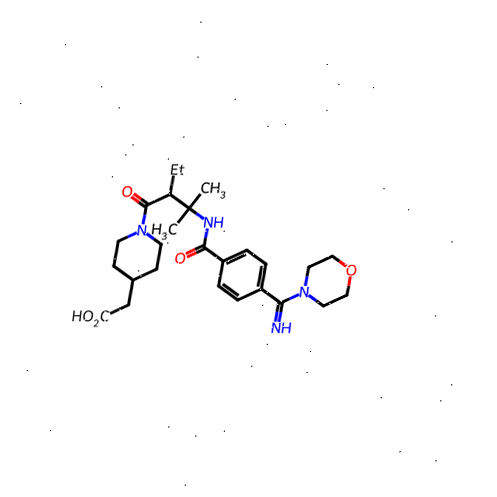 CCC(C(=O)N1CCC(CC(=O)O)CC1)C(C)(C)NC(=O)c1ccc(C(=N)N2CCOCC2)cc1